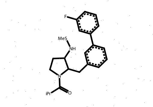 CSNC1CCN(C(=O)C(C)C)C1Cc1cccc(-c2cccc(F)c2)c1